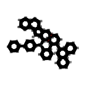 c1ccc(-c2ccc(N(c3ccccc3-c3ccccc3-c3cc4ccccc4c4ccccc34)c3cccc4c3sc3c5ccccc5ccc43)cc2)cc1